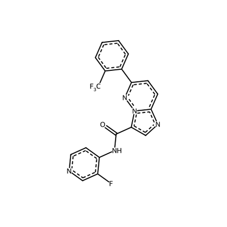 O=C(Nc1ccncc1F)c1cnc2ccc(-c3ccccc3C(F)(F)F)nn12